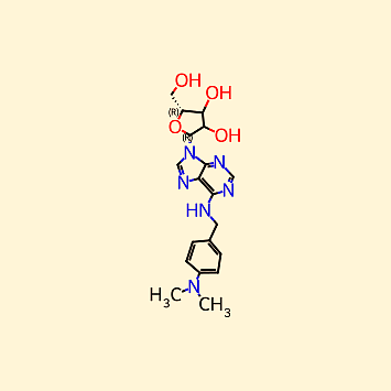 CN(C)c1ccc(CNc2ncnc3c2ncn3[C@@H]2O[C@H](CO)C(O)C2O)cc1